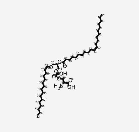 CCCCCCCCCC/C=C\CCCCCCCCCC(=O)O[C@H](CO/C=C\CCCCCCCCCCCCCC)COP(=O)(O)OC[C@H](N)C(=O)O